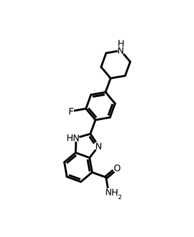 NC(=O)c1cccc2[nH]c(-c3ccc(C4CCNCC4)cc3F)nc12